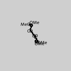 COc1ccc(CCC(=O)OCCCCOC(=O)CCc2ccc(OC)c(OC)c2)cc1OC